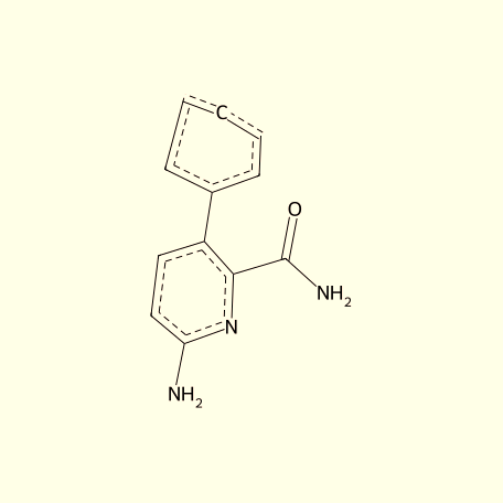 NC(=O)c1nc(N)ccc1-c1ccccc1